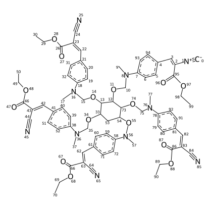 [C-]#[N+]/C(=C/c1ccc(N(C)COC2C(OCN(C)c3ccc(/C=C(/C#N)C(=O)OCC)cc3)C(OCN(C)c3ccc(/C=C(\C#N)C(=O)OCC)cc3)CC(ON(C)c3ccc(/C=C(\C#N)C(=O)OCC)cc3)C2OCN(C)c2ccc(/C=C(/C#N)C(=O)OCC)cc2)cc1)C(=O)OCC